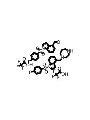 O=C(O)C(F)(F)F.O=C(O)C(F)(F)F.O=Cc1cccc2c1ccn2S(=O)(=O)c1ccc(F)cc1.O=S(=O)(c1ccc(F)cc1)n1ccc2c(CN3CCCNCC3)cccc21